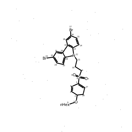 CCCCCCOC1C=CC(S(=O)(=O)CCCn2c3ccc(Br)cc3c3cc(Br)ccc32)=CC1